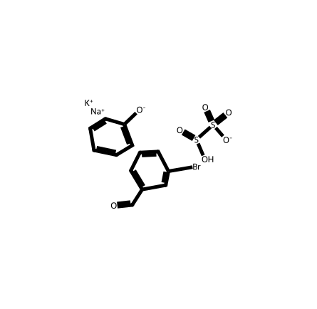 O=Cc1cccc(Br)c1.O=S(O)S(=O)(=O)[O-].[K+].[Na+].[O-]c1ccccc1